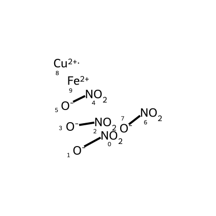 O=[N+]([O-])[O-].O=[N+]([O-])[O-].O=[N+]([O-])[O-].O=[N+]([O-])[O-].[Cu+2].[Fe+2]